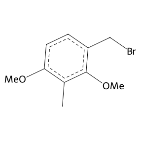 COc1ccc(CBr)c(OC)c1C